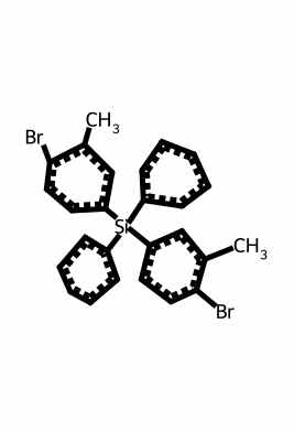 Cc1cc([Si](c2ccccc2)(c2ccccc2)c2ccc(Br)c(C)c2)ccc1Br